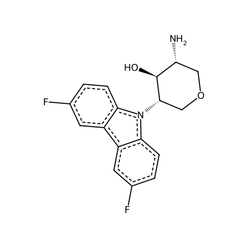 N[C@@H]1COC[C@H](n2c3ccc(F)cc3c3cc(F)ccc32)[C@H]1O